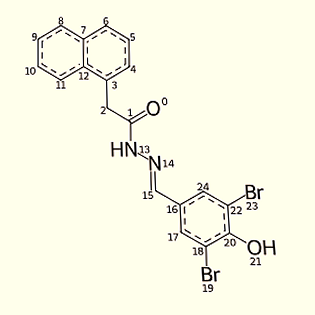 O=C(Cc1cccc2ccccc12)NN=Cc1cc(Br)c(O)c(Br)c1